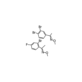 CO/N=C(\C)c1ccc(Br)c(Br)c1.CO/N=C(\C)c1ccc(F)cc1Br